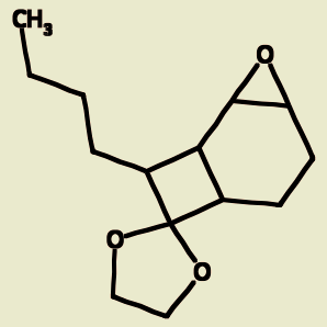 CCCCC1C2C3OC3CCC2C12OCCO2